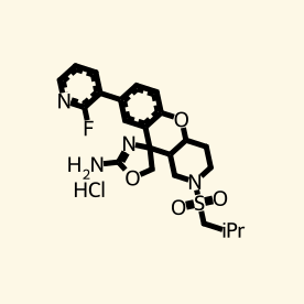 CC(C)CS(=O)(=O)N1CCC2Oc3ccc(-c4cccnc4F)cc3C3(COC(N)=N3)C2C1.Cl